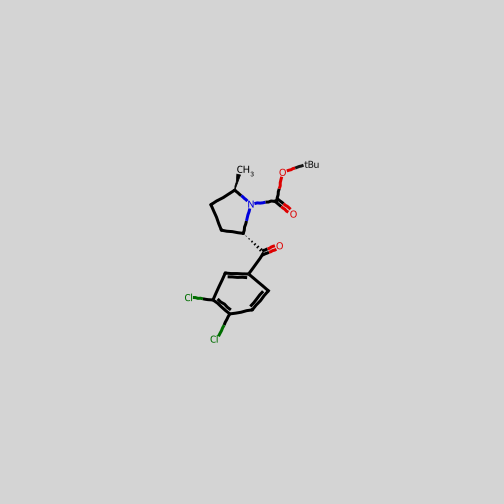 C[C@@H]1CC[C@@H](C(=O)c2ccc(Cl)c(Cl)c2)N1C(=O)OC(C)(C)C